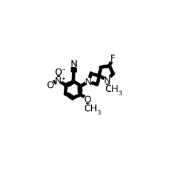 COc1ccc([N+](=O)[O-])c(C#N)c1N1CC2(CC(F)CN2C)C1